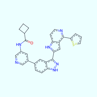 O=C(Nc1cncc(-c2ccc3[nH]nc(-c4cc5c(-c6cccs6)nccc5[nH]4)c3c2)c1)C1CCC1